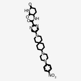 O=C1CCC(NC(=O)c2ncc(N3CCC4(CCC(N5CCN(c6ccc([N+](=O)[O-])cc6)CC5)CC4)CC3)cn2)C(=O)N1